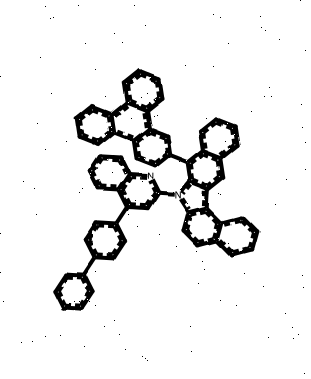 c1ccc(-c2ccc(-c3cc(-n4c5ccc6ccccc6c5c5cc6ccccc6c(-c6ccc7c8ccccc8c8ccccc8c7c6)c54)nc4ccccc34)cc2)cc1